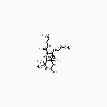 C=CCOC(=O)C(ON1C(C)(C)CC(O)CC1(C)C)C(=O)OCC=C